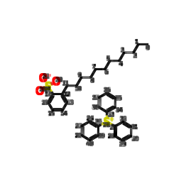 CCCCCCCCCCCCc1ccccc1S(=O)(=O)[O-].c1ccc([S+](c2ccccc2)c2ccccc2)cc1